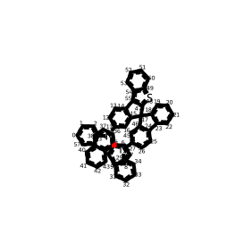 c1ccc(N(c2ccccc2)c2ccc3c(c2)C2(c4ccccc4-c4ccc(N(c5ccccc5)c5cccc6ccccc56)cc42)c2sc4ccccc4c2-3)cc1